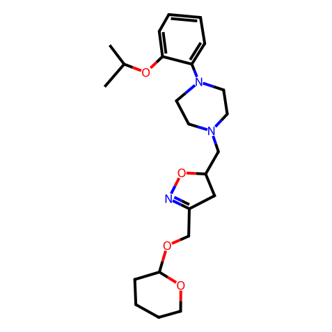 CC(C)Oc1ccccc1N1CCN(CC2CC(COC3CCCCO3)=NO2)CC1